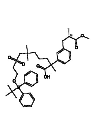 COC(=O)[C@@H](C)Cc1cccc(C(C)(CCCC(C)(C)CS(=O)(=O)CCO[Si](c2ccccc2)(c2ccccc2)C(C)(C)C)C(=O)O)c1